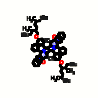 CC(CCC(COc1ccc(-c2c3/c(=C(\C#N)c4nc5ccccc5o4)n(B(c4ccccc4)c4ccccc4)c(-c4ccc(OCC(CCC(C)C(C)(C)C)C(C)CC(C)(C)C)cc4)c3/c(=C(\C#N)c3nc4ccccc4o3)n2B(c2ccccc2)c2ccccc2)cc1)C(C)CC(C)(C)C)CC(C)(C)C